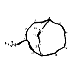 NC1CCC2CCCCC(CCC2)C1